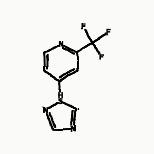 FC(F)(F)c1cc([SH]2[C]=NC=N2)ccn1